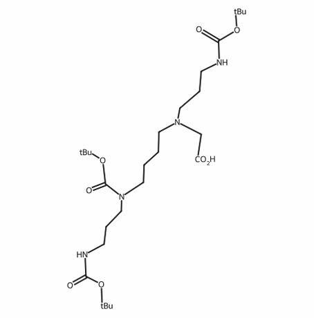 CC(C)(C)OC(=O)NCCCN(CCCCN(CCCNC(=O)OC(C)(C)C)C(=O)OC(C)(C)C)CC(=O)O